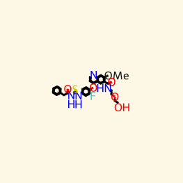 COc1cc2nccc(Oc3ccc(NC(=S)NC(=O)Cc4ccccc4)cc3F)c2cc1C(=O)NCCOCCO